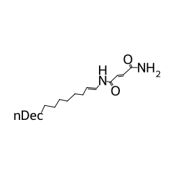 CCCCCCCCCCCCCCCCC=CNC(=O)C=CC(N)=O